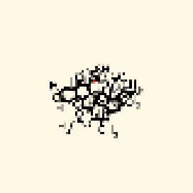 CC(=O)O[C@@H]1[C@H]2[C@H]3C([C@H](OC(C)=O)[C@H](OC(C)=O)[C@]2(C)[C@@H]2[C@@H]1[C@]1(C)C(=C[C@H]2C)OC(=O)[C@@]1(C)OC(C)=O)[C@@]1(C)C[C@H]2O[C@H]2C[C@@H]1C(=O)[C@@H]3OC(C)=O